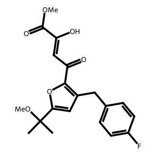 COC(=O)/C(O)=C/C(=O)c1oc(C(C)(C)OC)cc1Cc1ccc(F)cc1